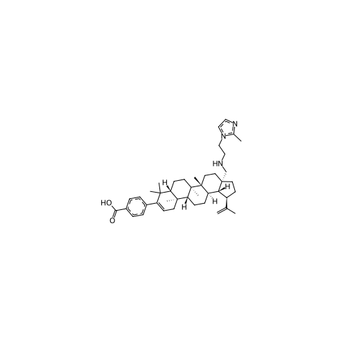 C=C(C)[C@@H]1CC[C@]2(CNCCn3ccnc3C)CC[C@]3(C)[C@H](CC[C@@H]4[C@@]5(C)CC=C(c6ccc(C(=O)O)cc6)C(C)(C)[C@@H]5CC[C@]43C)[C@@H]12